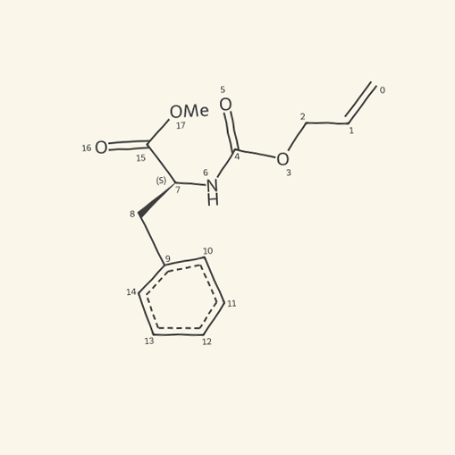 C=CCOC(=O)N[C@@H](Cc1ccccc1)C(=O)OC